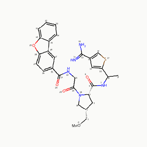 COC[C@H]1C[C@@H](C(=O)NC(C)c2cc(C(=N)N)cs2)N(C(=O)CNC(=O)c2ccc3oc4ccccc4c3c2)C1